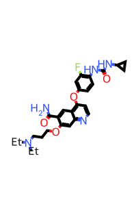 CCN(CC)CCCOc1cc2nccc(Oc3ccc(NC(=O)NC4CC4)c(F)c3)c2cc1C(N)=O